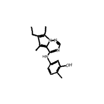 CCc1c(C)c2c(Nc3ccc(C)c(O)c3)ncnn2c1C